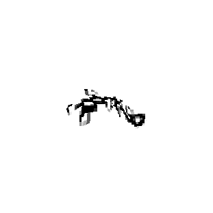 O=C1C(=Cc2cc3sc(-c4cc5ccccc5o4)nc3s2)C(=O)c2cc(Cl)c(Cl)cc21